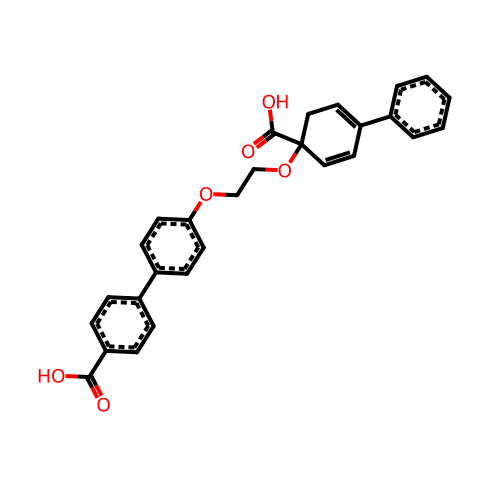 O=C(O)c1ccc(-c2ccc(OCCOC3(C(=O)O)C=CC(c4ccccc4)=CC3)cc2)cc1